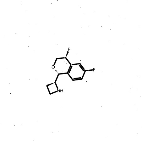 Fc1ccc2c(c1)[C@H](F)CO[C@H]2[C@@H]1CCN1